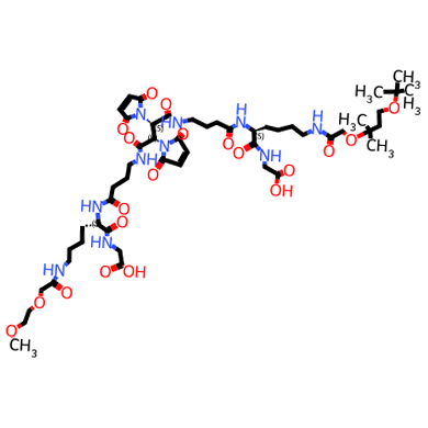 COCCOCC(=O)NCCCC[C@H](NC(=O)CCCNC(=O)[C@H]([C@@H](C(=O)NCCCC(=O)N[C@@H](CCCCNC(=O)COC(C)(C)CCOC(C)(C)C)C(=O)NCC(=O)O)N1C(=O)C=CC1=O)N1C(=O)C=CC1=O)C(=O)NCC(=O)O